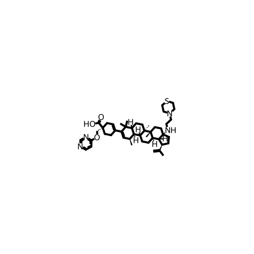 C=C(C)[C@@H]1CC[C@]2(NCCN3CCSCC3)CC[C@]3(C)[C@H](CC[C@@H]4[C@@H]5[C@@H](CC[C@]43C)C(C)(C)C(C3=CC[C@](COc4ccncn4)(C(=O)O)CC3)=C[C@@H]5C)[C@@H]12